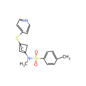 Cc1ccc(S(=O)(=O)N(C)C23CC(Sc4ccncc4)(C2)C3)cc1